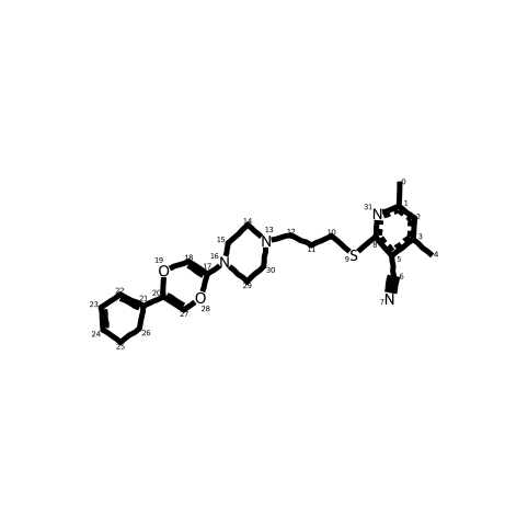 Cc1cc(C)c(C#N)c(SCCCN2CCN(C3=COC(C4=CC=CCC4)=CO3)CC2)n1